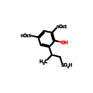 CCCCCCCCc1cc(CCCCCCCC)c(O)c(C(C)CS(=O)(=O)O)c1